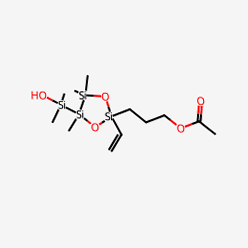 C=C[Si]1(CCCOC(C)=O)O[Si](C)(C)[Si](C)([Si](C)(C)O)O1